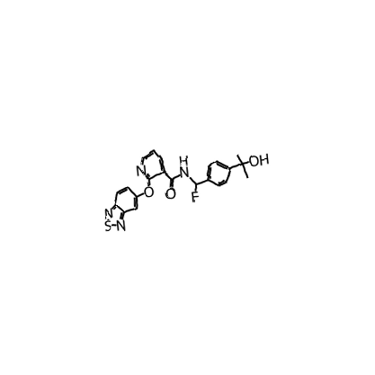 CC(C)(O)c1ccc(C(F)NC(=O)c2cccnc2Oc2ccc3nsnc3c2)cc1